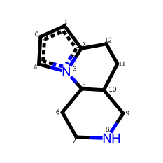 c1cc2n(c1)C1CCNCC1CC2